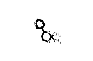 CC1(C)OCCC(c2cccnc2)O1